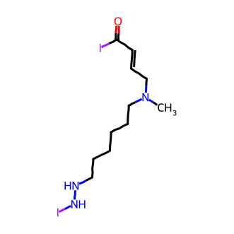 CN(C/C=C/C(=O)I)CCCCCCNNI